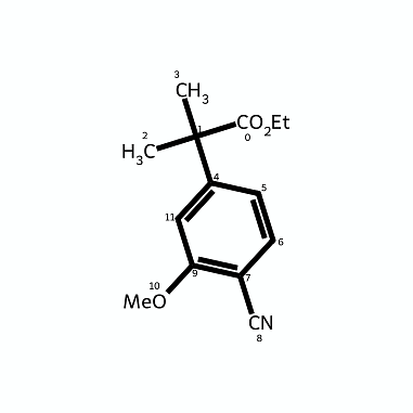 CCOC(=O)C(C)(C)c1ccc(C#N)c(OC)c1